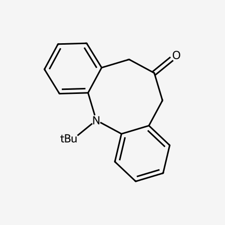 CC(C)(C)N1c2ccccc2CC(=O)Cc2ccccc21